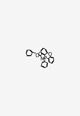 O=C(N=P1(c2ccccc2)c2ccccc2Oc2ccccc21)OCc1ccccc1